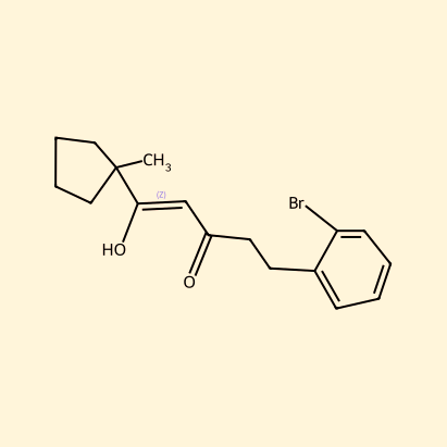 CC1(/C(O)=C/C(=O)CCc2ccccc2Br)CCCC1